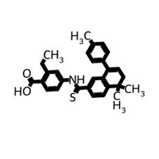 CCc1cc(NC(=S)c2ccc3c(c2)C(c2ccc(C)cc2)=CCC3(C)C)ccc1C(=O)O